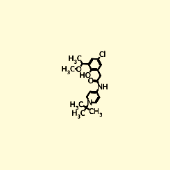 COC(C)c1cc(Cl)cc(CC(=O)NC2=CCN(C(C)(C)C)C=C2)c1O